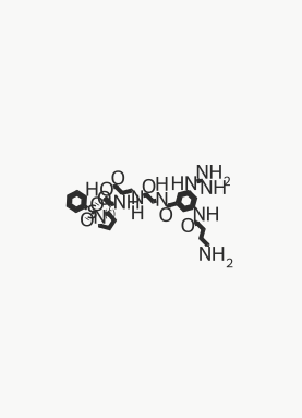 N=C(N)Nc1cc(NC(=O)CCCN)cc(C(=O)NCC(=O)NCC(NC(=O)[C@@H]2CCCN2S(=O)(=O)c2ccccc2)C(=O)O)c1